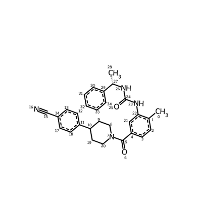 Cc1ccc(C(=O)N2CCC(c3ccc(C#N)cc3)CC2)cc1NC(=O)N[C@@H](C)c1ccccc1